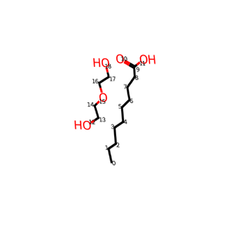 CCCCCCCCCC(=O)O.OCCOCCO